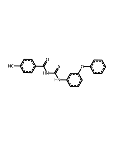 N#Cc1ccc(C(=O)NC(=S)Nc2cccc(Oc3ccccc3)c2)cc1